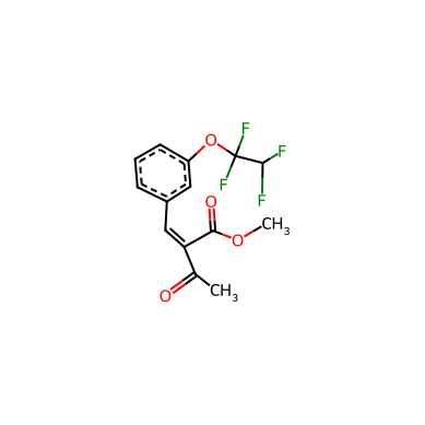 COC(=O)/C(=C\c1cccc(OC(F)(F)C(F)F)c1)C(C)=O